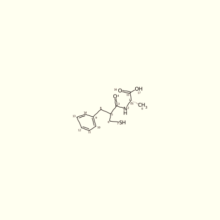 C[C@H](NC(=O)C(CS)Cc1ccccc1)C(=O)O